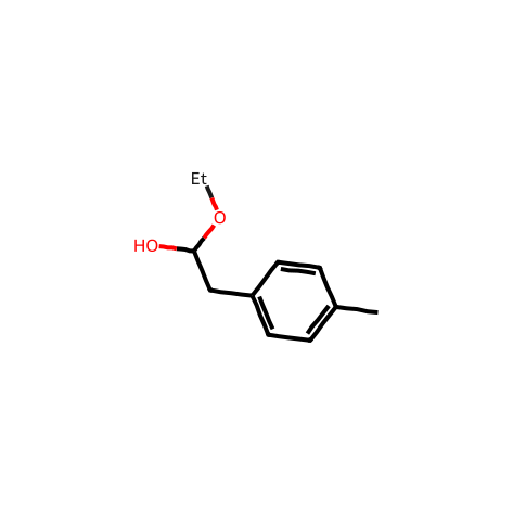 CCOC(O)Cc1ccc(C)cc1